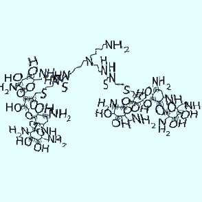 NCCCCCN(CCCCNC(=S)NCCSC[C@H]1OC(O[C@@H]2C(O)[C@H](N)CC(N)[C@H]2O[C@H]2OC(CN)[C@@H](O)[C@H](O)C2N)[C@@H](O)[C@H]1O[C@H]1OC(CN)[C@@H](O)C(O)[C@H]1N)CCCNC(=S)NCCSC[C@H]1OC(O[C@@H]2C(O)[C@H](N)CC(N)[C@H]2O[C@@H]2OC(CN)[C@@H](O)[C@H](O)C2N)[C@@H](O)[C@H]1O[C@H]1OC(CN)[C@@H](O)C(O)[C@H]1N